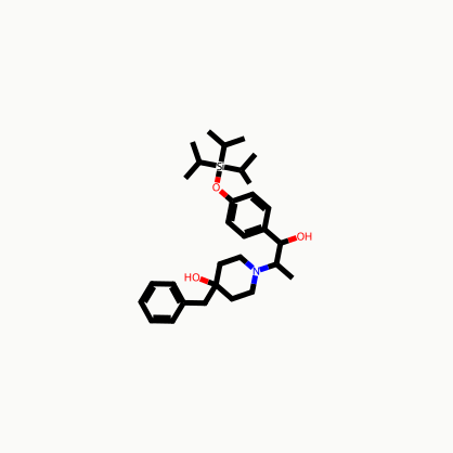 CC(C(O)c1ccc(O[Si](C(C)C)(C(C)C)C(C)C)cc1)N1CCC(O)(Cc2ccccc2)CC1